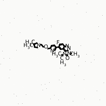 CC(C)n1c(=O)n(C)c2nnc3cc(F)c(-c4ccc(COCCN5CCC(C)(C)C5)nc4)cc3c21